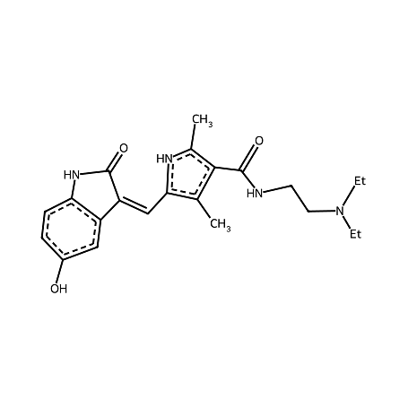 CCN(CC)CCNC(=O)c1c(C)[nH]c(/C=C2\C(=O)Nc3ccc(O)cc32)c1C